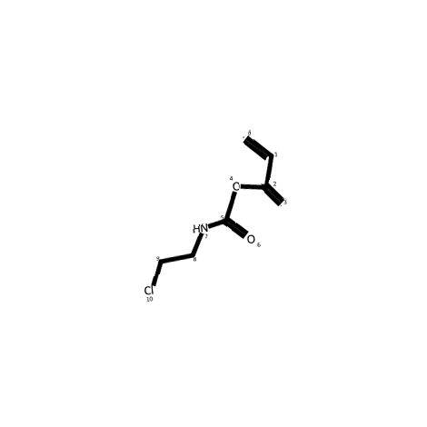 [CH]=CC(=[CH])OC(=O)NCCCl